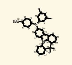 Cc1cc(C)cc(N(c2ccc(C(C)(C)C)cc2)c2ccc3c(c2)c2cccc4c2n3-c2ccccc2C4(C)C)c1